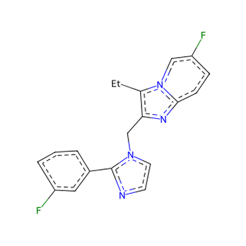 CCc1c(Cn2ccnc2-c2cccc(F)c2)nc2ccc(F)cn12